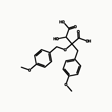 COc1ccc(COC(Cc2ccc(OC)cc2)(C(=O)O)C(O)C(=O)O)cc1